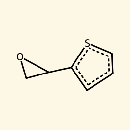 c1csc(C2CO2)c1